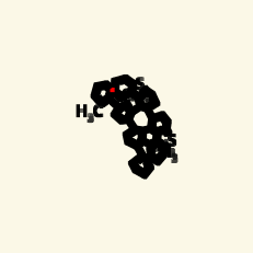 Cc1ccccc1-c1ccc2c(c1C)-c1c(ccc3sc4ccccc4c13)-c1ccc3sc4ccccc4c3c1-c1c-2ccc(-c2ccccc2C)c1C